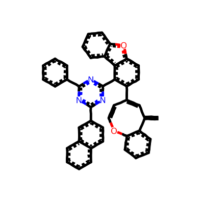 C=C1/C=C(c2ccc3oc4ccccc4c3c2-c2nc(-c3ccccc3)nc(-c3ccc4ccccc4c3)n2)\C=C/Oc2ccccc21